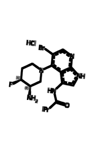 CC(C)C(=O)Nc1c[nH]c2ncc(Br)c(N3CC[C@H](F)[C@H](N)C3)c12.Cl